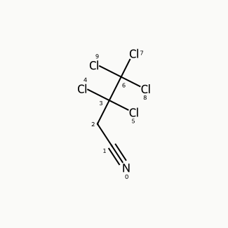 N#CCC(Cl)(Cl)C(Cl)(Cl)Cl